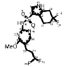 COc1nc(NS(=O)(=O)c2c[nH]c3c2CCC(F)(F)C3)ncc1CCC(F)F